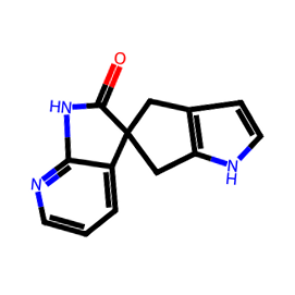 O=C1Nc2ncccc2C12Cc1cc[nH]c1C2